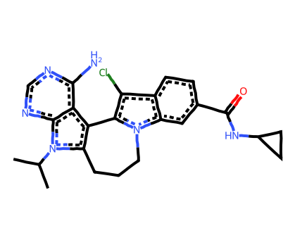 CC(C)n1c2c(c3c(N)ncnc31)-c1c(Cl)c3ccc(C(=O)NC4CC4)cc3n1CCC2